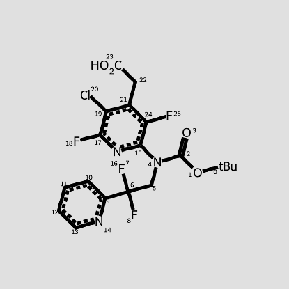 CC(C)(C)OC(=O)N(CC(F)(F)c1ccccn1)c1nc(F)c(Cl)c(CC(=O)O)c1F